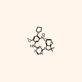 COc1cc(N2CCCC2)c([N+](=O)[O-])cc1Nc1ncnc(N2CC(C)(C)c3ncccc32)n1